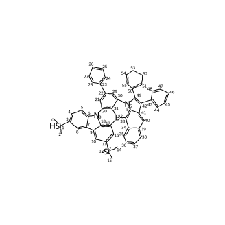 C[SiH](C)c1ccc2c(c1)c1cc([Si](C)(C)C)cc3c1n2-c1cc(-c2ccccc2)cc2c1B3c1c3ccccc3cc3c(-c4ccccc4)c(C4=CCCC=C4)n-2c13